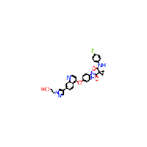 O=C(Nc1ccc(F)cc1)C1(C(=O)Nc2ccc(Oc3ccnc4cc(-c5cnn(CCO)c5)ccc34)cc2)CC1